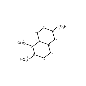 O=CC1C(C(=O)O)CCC2CC(C(=O)O)CCC21